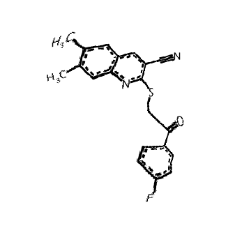 Cc1cc2cc(C#N)c(SCC(=O)c3ccc(F)cc3)nc2cc1C